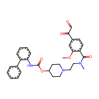 COc1cc(C(=O)C=O)ccc1C(=O)N(C)CCN1CCC(OC(=O)Nc2ccccc2-c2ccccc2)CC1